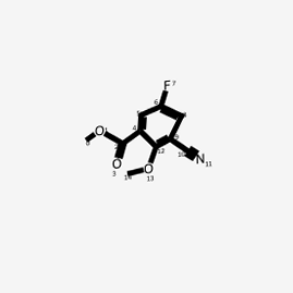 COC(=O)c1cc(F)cc(C#N)c1OC